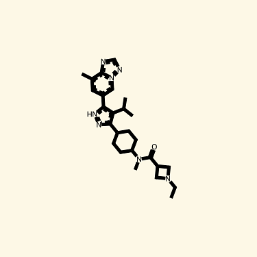 CCN1CC(C(=O)N(C)C2CCC(c3n[nH]c(-c4cc(C)c5ncnn5c4)c3C(C)C)CC2)C1